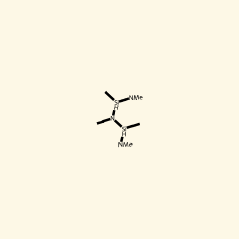 CN[SiH](C)N(C)[SiH](C)NC